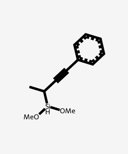 CO[SiH](OC)C(C)C#Cc1ccccc1